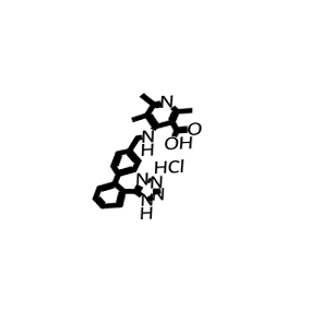 Cc1nc(C)c(C(=O)O)c(NCc2ccc(-c3ccccc3-c3nnn[nH]3)cc2)c1C.Cl